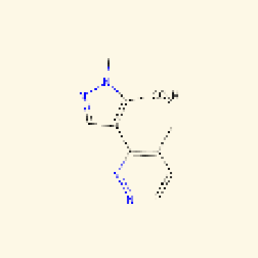 Cc1ccnnc1-c1cnn(C)c1C(=O)O